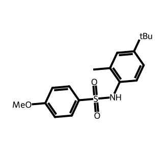 COc1ccc(S(=O)(=O)Nc2ccc(C(C)(C)C)cc2C)cc1